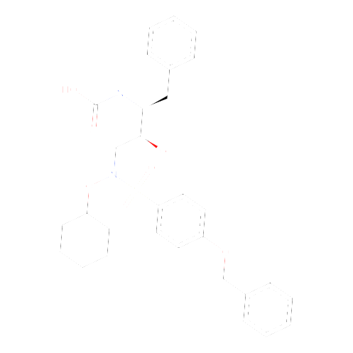 O=C(O)N[C@@H](Cc1ccccc1)[C@@H](O)CN(OC1CCCCC1)S(=O)(=O)c1ccc(OCc2ccccc2)cc1